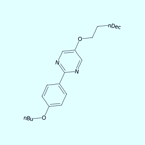 CCCCCCCCCCCCOc1cnc(-c2ccc(OCCCC)cc2)nc1